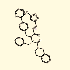 Cc1cc(/C=C/C(=O)N(Cc2ccc(-c3cnccn3)cc2)[C@@H](Cc2ccccc2)C(=O)N2CCc3ccccc3C2)no1